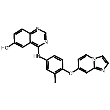 Cc1cc(Nc2ncnc3ccc(O)cc23)ccc1Oc1ccn2ccnc2c1